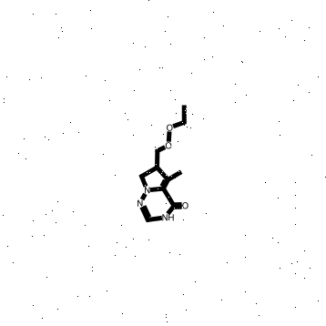 CCOOCC1CN2N=CNC(=O)C2=C1C